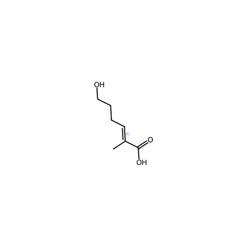 C/C(=C\CCCO)C(=O)O